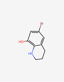 Oc1cc(Br)cc2c1NCCC2